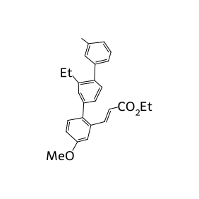 CCOC(=O)/C=C/c1cc(OC)ccc1-c1ccc(-c2cccc(C)c2)c(CC)c1